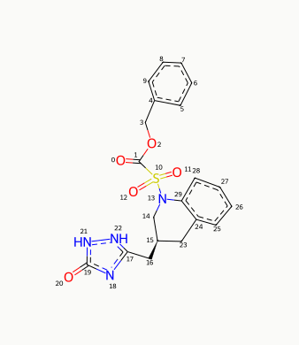 O=C(OCc1ccccc1)S(=O)(=O)N1C[C@H](Cc2nc(=O)[nH][nH]2)Cc2ccccc21